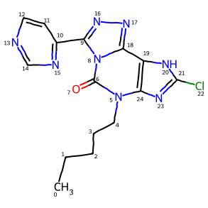 CCCCCn1c(=O)n2c(-c3ccncn3)nnc2c2[nH]c(Cl)nc21